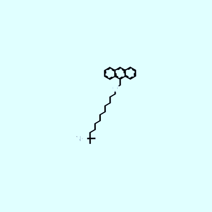 CC(C)(C#N)CCCCCCCCCCOCc1c2ccccc2cc2ccccc12